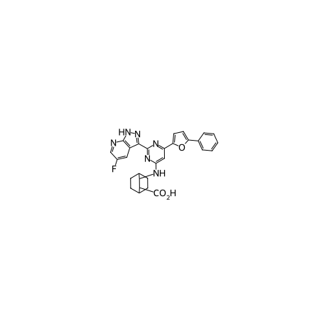 O=C(O)C1C2CCC(CC2)C1Nc1cc(-c2ccc(-c3ccccc3)o2)nc(-c2n[nH]c3ncc(F)cc23)n1